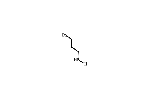 CCCCCPCl